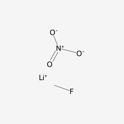 CF.O=[N+]([O-])[O-].[Li+]